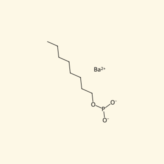 CCCCCCCCOP([O-])[O-].[Ba+2]